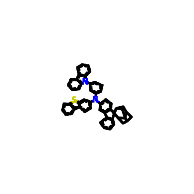 c1cc(N(c2ccc3c(c2)-c2ccccc2C32C3CC4CC(C3)CC2C4)c2ccc3c(c2)sc2ccccc23)cc(-n2c3ccccc3c3ccccc32)c1